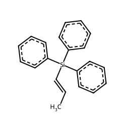 CC=C[Si](c1ccccc1)(c1ccccc1)c1ccccc1